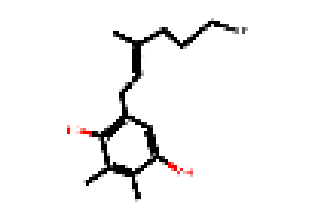 C/C(=C\Cc1cc(O)c(C)c(C)c1O)CCCC(C)C